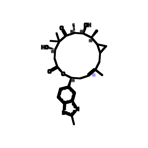 C/C1=C/C[C@@H](c2ccc3sc(C)nc3c2)OC(=O)C[C@H](O)C(C)(C)C(=O)[C@H](C)[C@@H](O)[C@@H](C)C2CC2C1